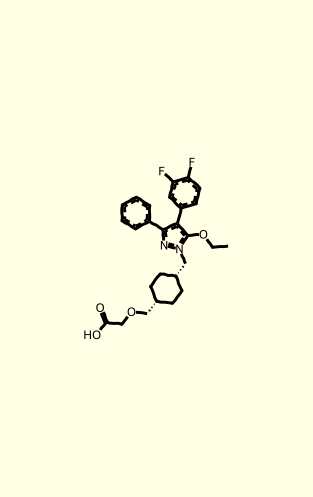 CCOc1c(-c2ccc(F)c(F)c2)c(-c2ccccc2)nn1C[C@H]1CC[C@@H](COCC(=O)O)CC1